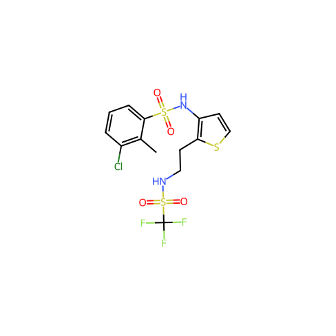 Cc1c(Cl)cccc1S(=O)(=O)Nc1ccsc1CCNS(=O)(=O)C(F)(F)F